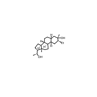 CC[C@H]1C[C@H]2[C@H](CC[C@@H]3[C@@H]2CC[C@]2(C)[C@@H]([C@H](C)O)CC[C@@H]32)C[C@]1(C)O